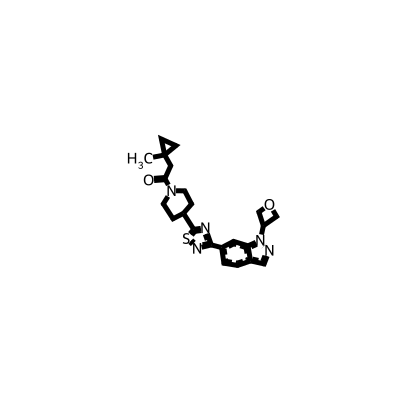 CC1(CC(=O)N2CCC(c3nc(-c4ccc5cnn(C6COC6)c5c4)ns3)CC2)CC1